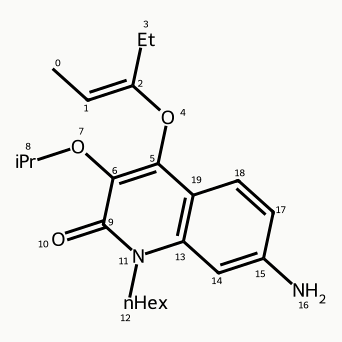 CC=C(CC)Oc1c(OC(C)C)c(=O)n(CCCCCC)c2cc(N)ccc12